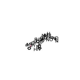 CC(C)c1ccccc1[C@@H]1CCCN1C1CC2(CCN(c3cc(Oc4cnc5[nH]ccc5c4)c(C(=O)NS(=O)(=O)c4cc(N=O)c(NCC5(F)CCN(C(=O)CN(C)C)CC5)c5[nH]cnc45)cc3F)CC2)C1